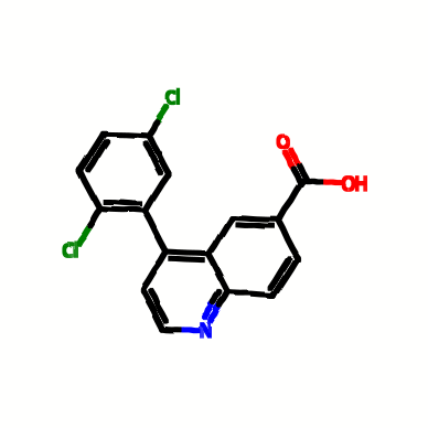 O=C(O)c1ccc2nccc(-c3cc(Cl)ccc3Cl)c2c1